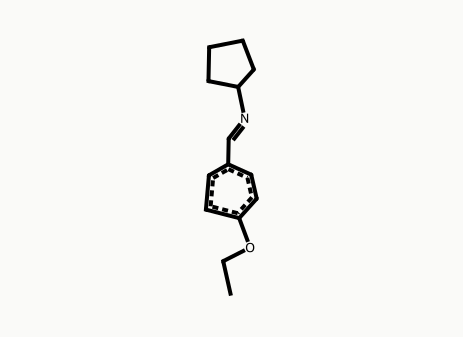 CCOc1ccc(/C=N/C2CCCC2)cc1